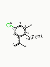 C=C(C)c1cc(Cl)cc(C)c1CCCCC